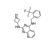 FC(I)(I)c1ccccc1CNc1nc(NC2CNC2)nc2ncccc12